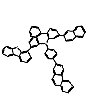 c1ccc(-c2ccc(-c3ccc4ccccc4c3)cc2N(c2ccc(-c3ccc4c(ccc5ccccc54)c3)cc2)c2cccc(-c3cccc4c3sc3ccccc34)c2)cc1